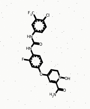 NC(=O)C1=CC(Oc2ccc(NC(=O)Nc3ccc(Cl)c(C(F)(F)F)c3)c(F)c2)=CCN1O